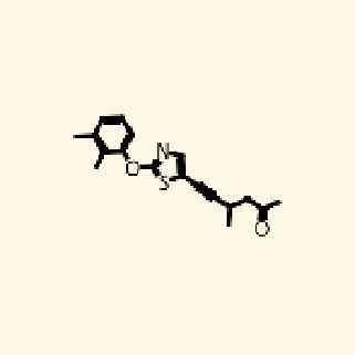 CC(=O)CC(C)C#Cc1cnc(Oc2cccc(C)c2C)s1